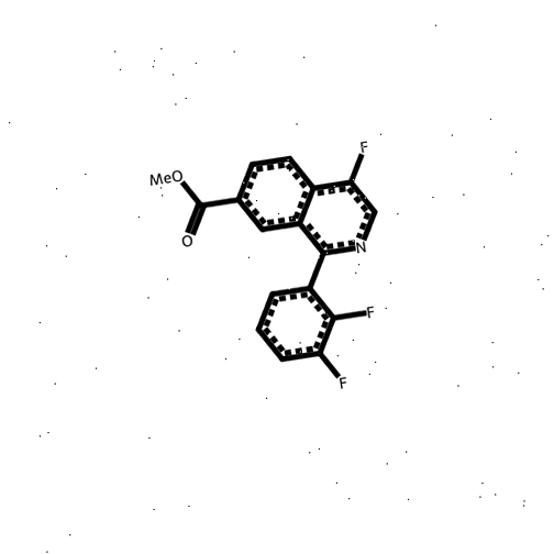 COC(=O)c1ccc2c(F)cnc(-c3cccc(F)c3F)c2c1